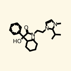 CC(C)C1N(C)C=CN1CCNC(=O)C(O)(c1ccccc1)C1CCCCC1